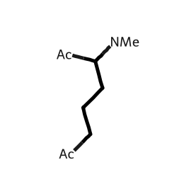 CNC(CCCC(C)=O)C(C)=O